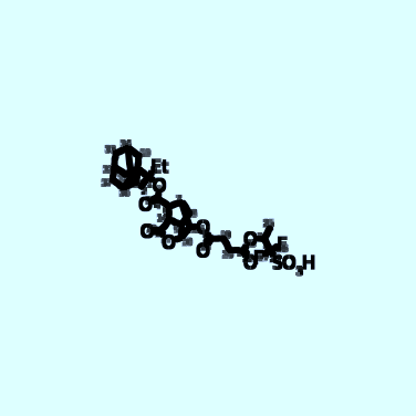 CCC(C)(OC(=O)C1C2CC3C(OC(=O)C31)C2OC(=O)CCC(=O)OC(C)C(F)(F)S(=O)(=O)O)C12CC3CC(CC(C3)C1)C2